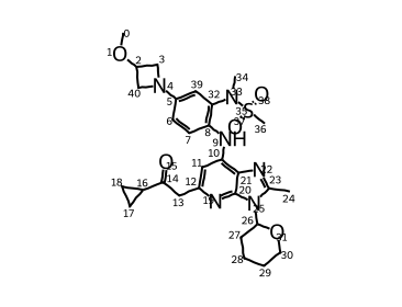 COC1CN(c2ccc(Nc3cc(CC(=O)C4CC4)nc4c3nc(C)n4C3CCCCO3)c(N(C)S(C)(=O)=O)c2)C1